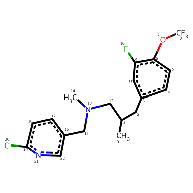 CC(Cc1ccc(OC(F)(F)F)c(F)c1)CN(C)Cc1ccc(Cl)nc1